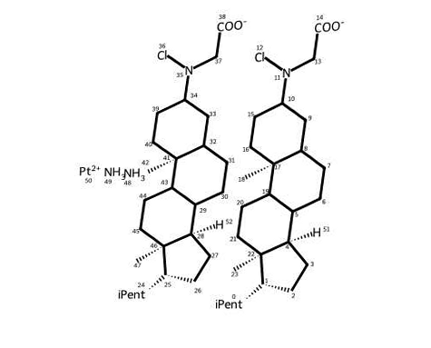 CCC[C@@H](C)[C@H]1CC[C@@H]2C3CCC4CC(N(Cl)CC(=O)[O-])CC[C@]4(C)C3CC[C@@]21C.CCC[C@@H](C)[C@H]1CC[C@@H]2C3CCC4CC(N(Cl)CC(=O)[O-])CC[C@]4(C)C3CC[C@@]21C.N.N.[Pt+2]